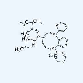 C=C/C=N\C(C)=C(\SC(C)=C(C)C)c1ccc(C)c(-c2ccccc2)c2ccccc2c(-c2ccccc2)cc1